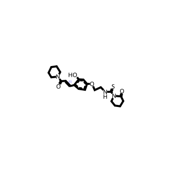 O=C(/C=C/c1ccc(OCCNC(=S)N2CCCCC2=O)cc1O)N1CCCCC1